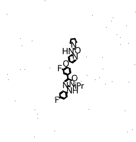 CC(C)n1c(Nc2ccc(F)cc2)ncc(-c2ccc(Oc3ccnc(NC(=O)N4CCCC4)c3)c(F)c2)c1=O